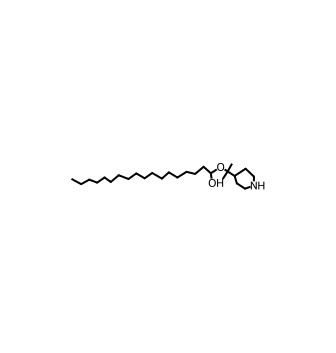 CCCCCCCCCCCCCCCCCC(O)OC(C)(C)C1CCNCC1